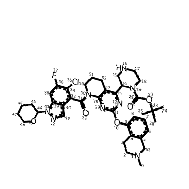 CN1CCc2c(cccc2Oc2nc(C3CNCCN3C(=O)OC(C)(C)C)c3c(n2)N(C(=O)c2c(Cl)c(F)cc4c2cnn4C2CCCCO2)CCC3)C1